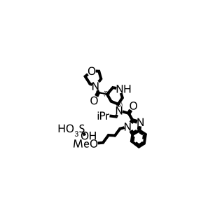 COCCCCn1c(C(=O)N(CC(C)C)[C@@H]2CNC[C@H](C(=O)N3CCOCC3)C2)nc2ccccc21.O=S(=O)(O)O